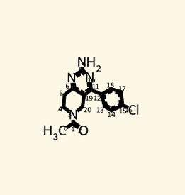 CC(=O)N1CCc2nc(N)nc(-c3ccc(Cl)cc3)c2C1